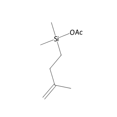 C=C(C)CC[Si](C)(C)OC(C)=O